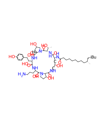 CC[C@H](C)C[C@H](C)CCCCCCCCC(=O)NC1C[C@@H](O)CNC(=O)C2[C@@H](O)CCN2C(=O)C([C@H](O)CCN)NC(=O)C([C@H](O)[C@@H](O)c2ccc(O)cc2)NC(=O)[C@@H]2C[C@@H](O)CN2C(=O)[C@H]([C@@H](C)O)NC1=O